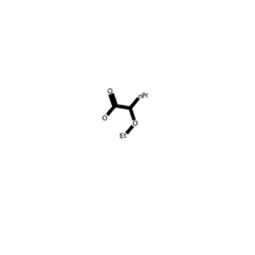 CCCC(OCC)C([O])=O